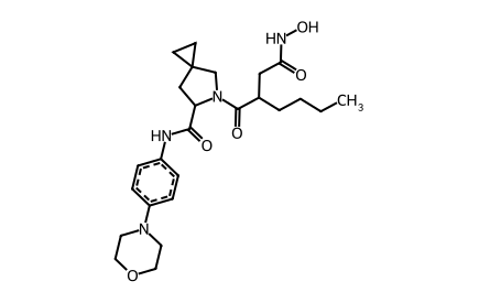 CCCCC(CC(=O)NO)C(=O)N1CC2(CC2)CC1C(=O)Nc1ccc(N2CCOCC2)cc1